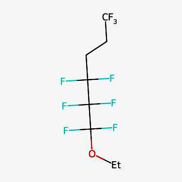 CCOC(F)(F)C(F)(F)C(F)(F)CCC(F)(F)F